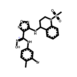 Cc1ccc(N/C(=N\O)c2nonc2NC2CCN(S(C)(=O)=O)c3ccccc32)cc1Br